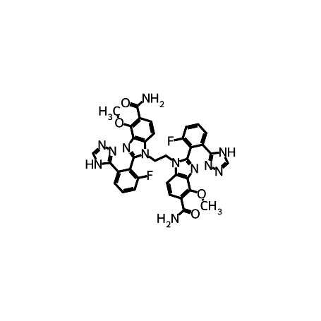 COc1c(C(N)=O)ccc2c1nc(-c1c(F)cccc1-c1nnc[nH]1)n2CCn1c(-c2c(F)cccc2-c2nnc[nH]2)nc2c(OC)c(C(N)=O)ccc21